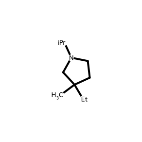 CCC1(C)CCN(C(C)C)C1